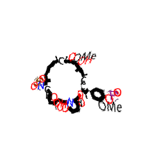 CO[C@@H]1C[C@H](C[C@@H](C)[C@@H]2CC[C@H](C)/C=C(\C)[C@@H](O)[C@@H](OC)C(=O)[C@H](C)C[C@H](C)/C=C/C=C/C=C(\C)[C@@H](N(C)S(C)(=O)=O)C[C@@H]3CC[C@@H](C)[C@@](O)(O3)C(=O)C(=O)N3CCCC[C@H]3C(=O)O2)CC[C@H]1OP(C)(C)=O